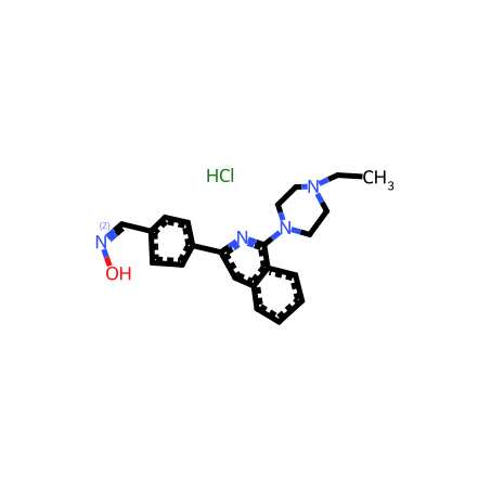 CCN1CCN(c2nc(-c3ccc(/C=N\O)cc3)cc3ccccc23)CC1.Cl